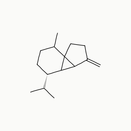 C=C1CCC23C(C)CC[C@@H](C(C)C)C2C13